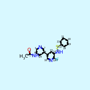 CC(=O)Nc1cncc(-c2cnc(F)c(NSc3ccccc3)c2)c1